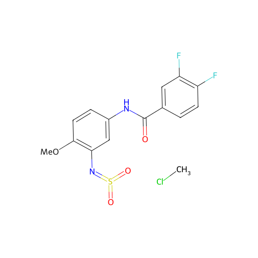 CCl.COc1ccc(NC(=O)c2ccc(F)c(F)c2)cc1N=S(=O)=O